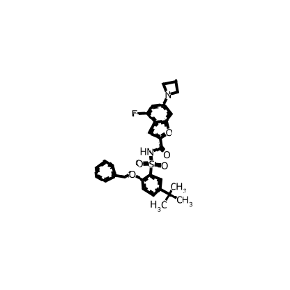 CC(C)(C)c1ccc(OCc2ccccc2)c(S(=O)(=O)NC(=O)c2cc3c(F)cc(N4CCC4)cc3o2)c1